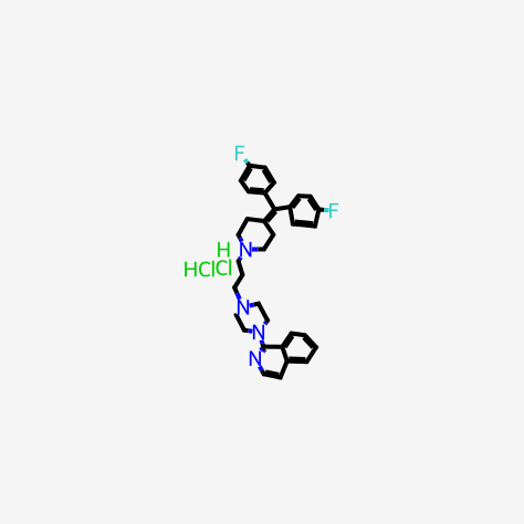 Cl.Cl.Fc1ccc(C(=C2CCN(CCCN3CCN(c4nccc5ccccc45)CC3)CC2)c2ccc(F)cc2)cc1